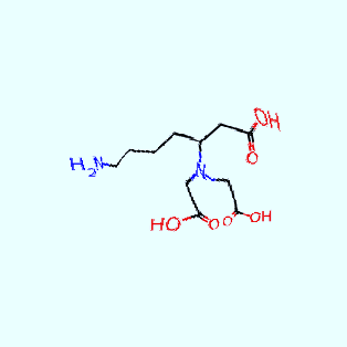 NCCCC[C@@H](CC(=O)O)N(CC(=O)O)CC(=O)O